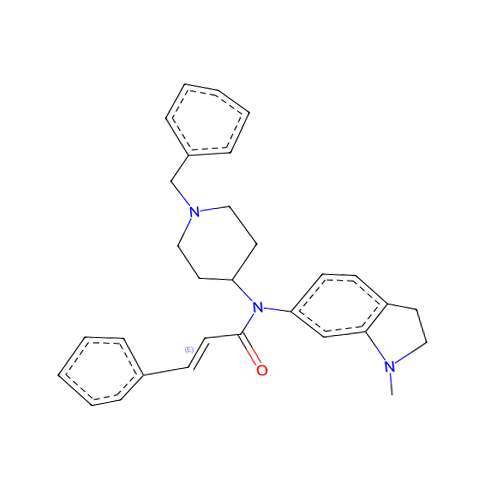 CN1CCc2ccc(N(C(=O)/C=C/c3ccccc3)C3CCN(Cc4ccccc4)CC3)cc21